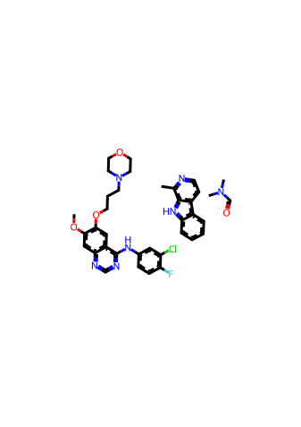 CN(C)C=O.COc1cc2ncnc(Nc3ccc(F)c(Cl)c3)c2cc1OCCCN1CCOCC1.Cc1nccc2c1[nH]c1ccccc12